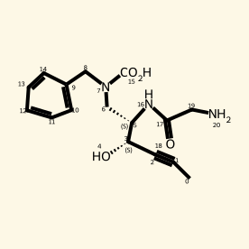 CC#C[C@H](O)[C@H](CN(Cc1ccccc1)C(=O)O)NC(=O)CN